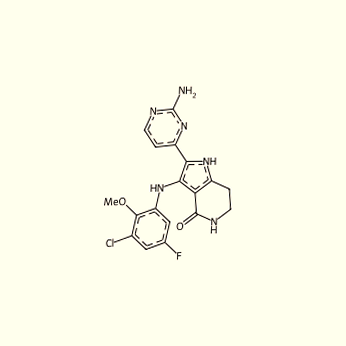 COc1c(Cl)cc(F)cc1Nc1c(-c2ccnc(N)n2)[nH]c2c1C(=O)NCC2